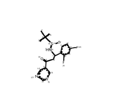 CC(C)(C)[S+]([O-])NC(CC(=O)c1cncnc1)c1ccc(F)cc1F